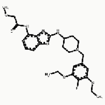 CCOc1cc(CN2CCC(Nc3nc4c(NC(=O)COC)cccc4o3)CC2)cc(OCC)c1F